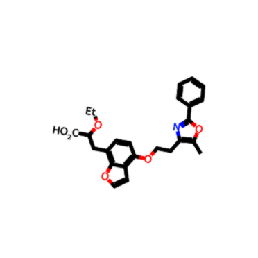 CCOC(Cc1ccc(OCCc2nc(-c3ccccc3)oc2C)c2ccoc12)C(=O)O